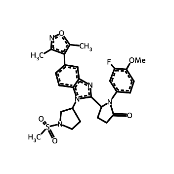 COc1ccc(N2C(=O)CCC2c2nc3cc(-c4c(C)noc4C)ccc3n2C2CCN(S(C)(=O)=O)C2)cc1F